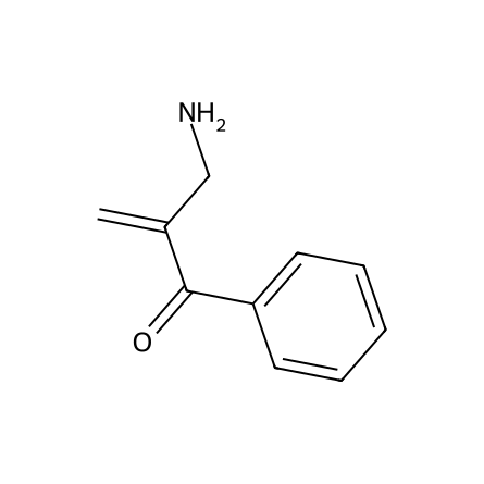 C=C(CN)C(=O)c1ccccc1